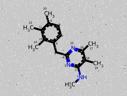 CNc1nc(Cc2ccc(C)c(C)c2C)nc(C)c1C